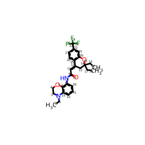 CCN1CCOc2c(NC(=O)/C=C3\CC(CC)(CC)Oc4cc(C(F)(F)F)ccc43)cccc21